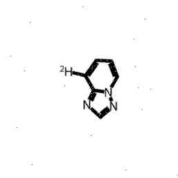 [2H]c1cccn2ncnc12